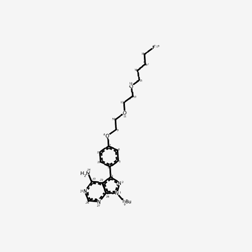 CCCCn1nc(-c2ccc(OCCOCCOCCCCF)cc2)c2c(N)ncnc21